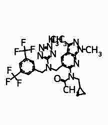 CC(=O)N(CC1CC1)c1nc2c(cc1CN(Cc1cc(C(F)(F)F)cc(C(F)(F)F)c1)c1nnn(C)n1)c(C)nn2C